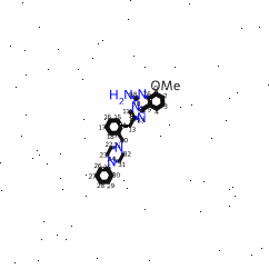 COc1cccc2c1nc(N)n1cc(Cc3ccccc3CN3CCN(c4ccccc4)CC3)nc21